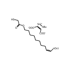 CCCCCCCC/C=C\CCCCCCCCOC(=O)CS.CCC[CH2][Sn+2].O=C([O-])/C=C\C(=O)[O-]